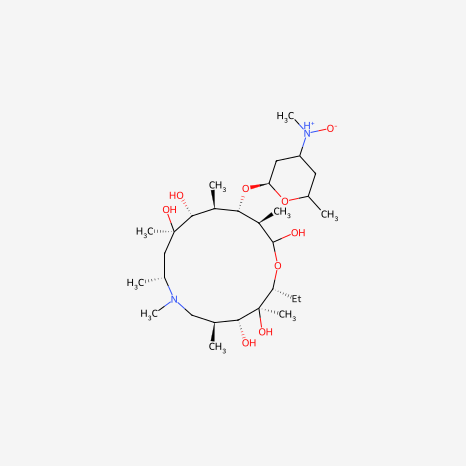 CC[C@H]1OC(O)[C@H](C)[C@@H](O[C@H]2CC([NH+](C)[O-])CC(C)O2)[C@H](C)[C@@H](O)[C@](C)(O)C[C@@H](C)N(C)C[C@H](C)[C@@H](O)[C@]1(C)O